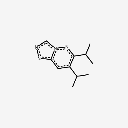 CC(C)c1cc2nncn2nc1C(C)C